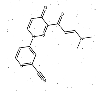 CN(C)C=CC(=O)c1nn(-c2ccnc(C#N)c2)ccc1=O